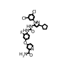 NC(=O)c1cc(Oc2ccc(NC(=O)Nc3cc(C4CCCC4)nn3-c3cc(Cl)cc(Cl)c3)c(F)c2)ccn1